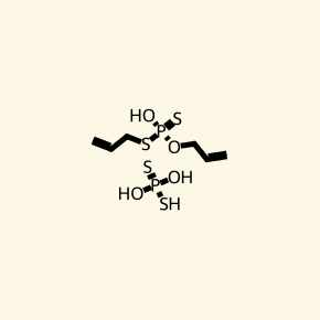 C=CCOP(O)(=S)SCC=C.OP(O)(=S)S